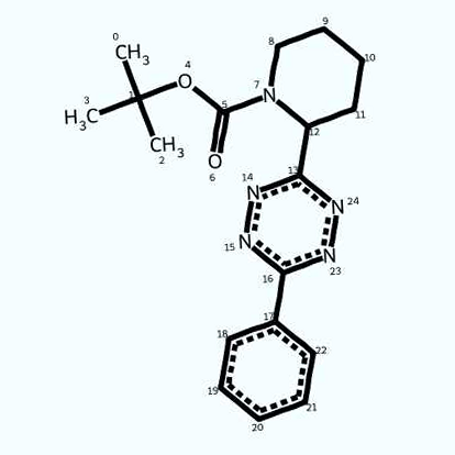 CC(C)(C)OC(=O)N1CCCCC1c1nnc(-c2ccccc2)nn1